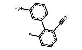 N#Cc1cccc(F)c1-c1cccc(N)c1